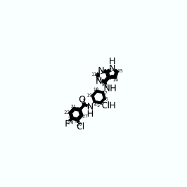 Cl.O=C(N[C@H]1CC[C@@H](Nc2ncnc3[nH]ccc23)CC1)c1ccc(F)c(Cl)c1